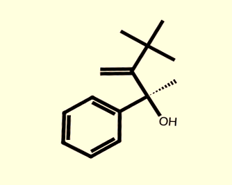 C=C(C(C)(C)C)[C@@](C)(O)c1ccccc1